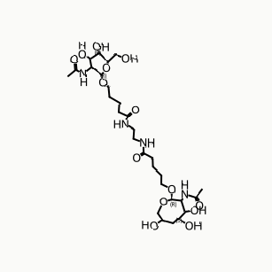 CC(=O)NC1C(O)[C@@H](O)C(CO)O[C@H]1OCCCCC(=O)NCCNC(=O)CCCCO[C@@H]1OCC(O)C[C@H](O)C(O)C1NC(C)=O